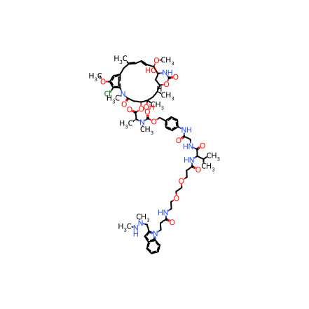 CNN(C)Cc1cc2ccccc2n1CCC(=O)NCCOCCOCCC(=O)NC(C(=O)NCC(=O)Nc1ccc(COC(=O)N(C)[C@@H](C)C(=O)O[C@H]2CC(=O)N(C)c3cc(cc(OC)c3Cl)C/C(C)=C/C=C/[C@@H](OC)[C@@]3(O)C[C@H](OC(=O)N3)[C@@H](C)CC2(C)O)cc1)C(C)C